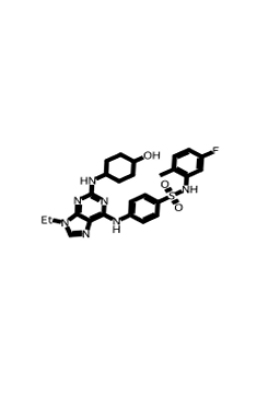 CCn1cnc2c(Nc3ccc(S(=O)(=O)Nc4cc(F)ccc4C)cc3)nc(NC3CCC(O)CC3)nc21